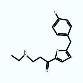 CCNCCC(=O)c1ccc(Cc2ccc(F)cc2)o1